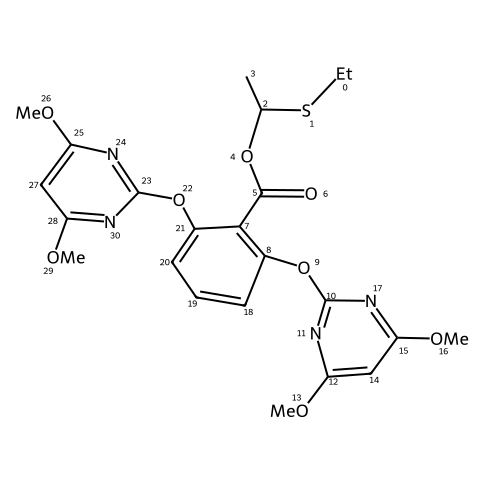 CCSC(C)OC(=O)c1c(Oc2nc(OC)cc(OC)n2)cccc1Oc1nc(OC)cc(OC)n1